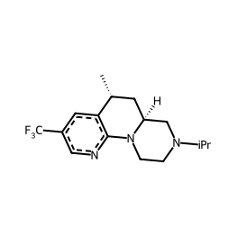 CC(C)N1CCN2c3ncc(C(F)(F)F)cc3[C@H](C)C[C@H]2C1